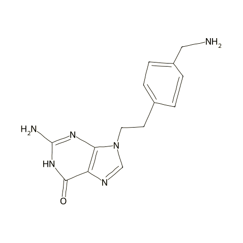 NCc1ccc(CCn2cnc3c(=O)[nH]c(N)nc32)cc1